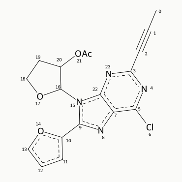 CC#Cc1nc(Cl)c2nc(-c3ccco3)n(C3OCCC3OC(C)=O)c2n1